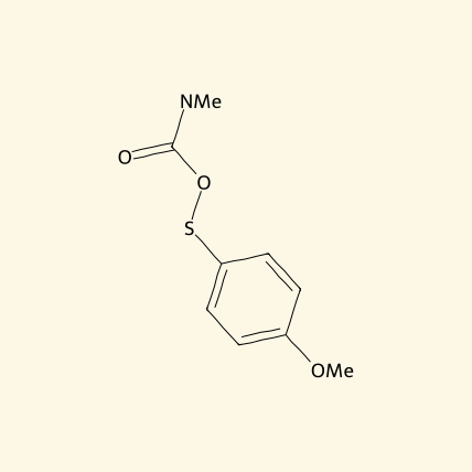 CNC(=O)OSc1ccc(OC)cc1